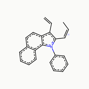 C=Cc1c(/C=C\C)n(-c2ccccc2)c2c1ccc1ccccc12